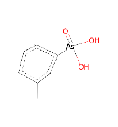 Cc1cc[c]c([As](=O)(O)O)c1